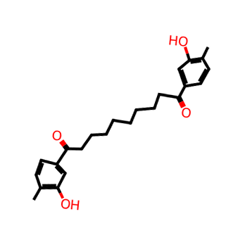 Cc1ccc(C(=O)CCCCCCCCC(=O)c2ccc(C)c(O)c2)cc1O